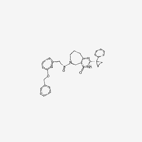 O=C(Cc1cccc(OCc2ccccc2)c1)N1CCCc2nc(C3(c4ccccc4)CC3)[nH]c(=O)c2C1